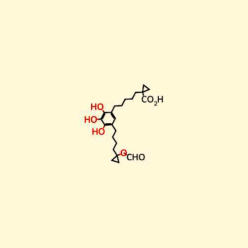 O=COC1(CCCCc2cc(CCCCCC3(C(=O)O)CC3)c(O)c(O)c2O)CC1